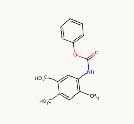 Cc1cc(C(=O)O)c(C(=O)O)cc1NC(=O)Oc1ccccc1